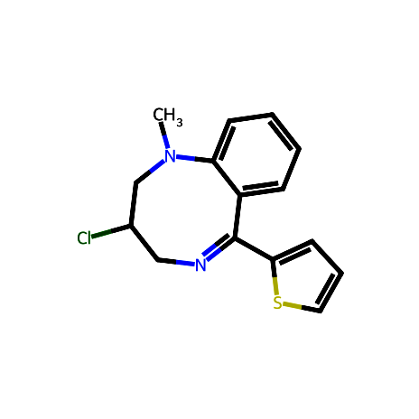 CN1CC(Cl)CN=C(c2cccs2)c2ccccc21